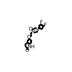 O=C1CCc2cc(OCCN3CCN(c4ccc(F)c(F)c4)CC3=O)ccc2N1